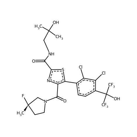 CC(C)(O)CNC(=O)c1nc(C(=O)N2CC[C@](C)(F)C2)c(-c2ccc(C(O)(C(F)(F)F)C(F)(F)F)c(Cl)c2Cl)s1